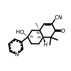 CC1(C)C(=O)C(C#N)=C[C@]2(C)C[C@](O)(c3cccnc3)CC[C@@H]12